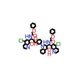 O=C(COc1ccccc1)NC(c1cc2ccccc2o1)c1cc(Cl)c2cccnc2c1O.O=C(COc1ccccc1)NC(c1cnc2ccccc2c1)c1cc(Cl)c2cccnc2c1O